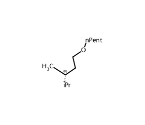 CCCCCOCC[C@@H](C)C(C)C